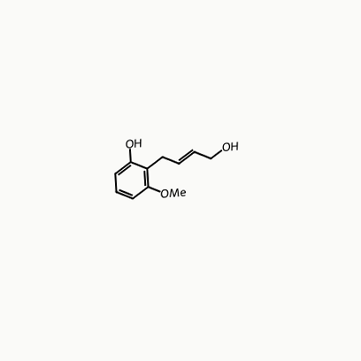 COc1cccc(O)c1CC=CCO